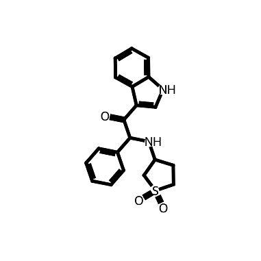 O=C(c1c[nH]c2ccccc12)C(NC1CCS(=O)(=O)C1)c1ccccc1